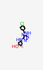 [CH2][C@H]1C[C@@H](Nc2ncnc3[nH]c(-c4ccc(Cl)cc4)nc23)C[C@@H]1O